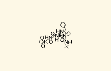 CC(CC(=O)NCC(=O)NCC(=O)NC(Cc1ccccc1)C(=O)NCC(=O)NCC(C)(C)C)N1C(=O)C=CC1=O